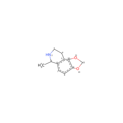 CC1NCCc2c1ccc1c2OCO1